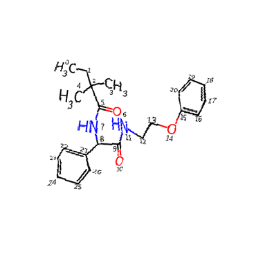 CCC(C)(C)C(=O)NC(C(=O)NCCOc1ccccc1)c1ccccc1